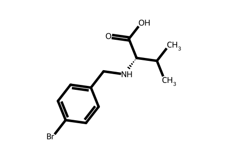 CC(C)[C@H](NCc1ccc(Br)cc1)C(=O)O